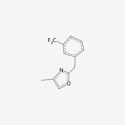 Cc1coc(Cc2cccc(C(F)(F)F)c2)n1